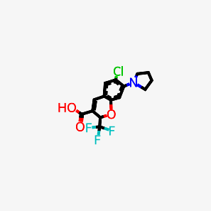 O=C(O)C1=Cc2cc(Cl)c(N3CCCC3)cc2OC1C(F)(F)F